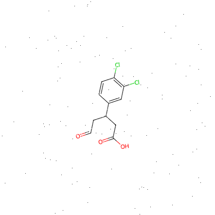 O=CCC(CC(=O)O)c1ccc(Cl)c(Cl)c1